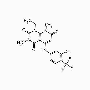 CCn1c(=O)n(C)c(=O)c2c(Nc3ccc(C(F)(F)F)c(Cl)c3)cc(=O)n(C)c21